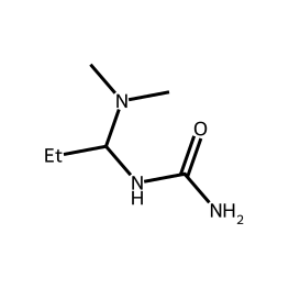 CCC(NC(N)=O)N(C)C